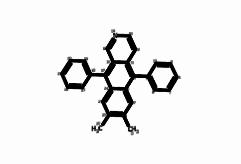 Cc1cc2c(-c3ccccc3)c3ccncc3c(-c3ccccc3)c2cc1C